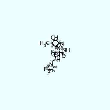 Cc1cc2nc3n(c2cc1C)C(NC(=O)CCN1CCC(F)(F)C1)(C(F)(F)F)C(=O)N3